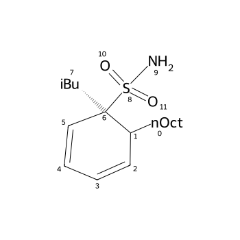 CCCCCCCCC1C=CC=CC1([C@@H](C)CC)S(N)(=O)=O